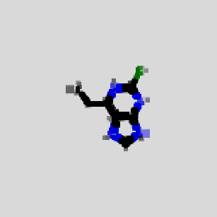 CCc1nc(Cl)nc2[nH]cnc12